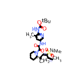 C=C(/C=C(\C=C/C)S(=O)(=O)NC)[C@@H]1CCCCN1C(=O)C(=O)Nc1cnc(NC(=O)OC(C)(C)C)c(C)c1